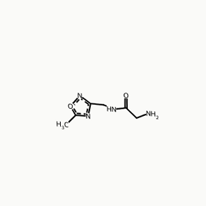 Cc1nc(CNC(=O)CN)no1